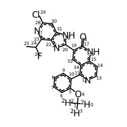 [2H]C([2H])([2H])Oc1ccccc1-c1nccc2[nH]c(=O)c(-c3nc4c(C(C)F)nc(Cl)cc4[nH]3)cc12